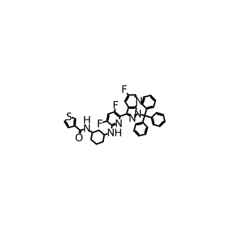 O=C(NC1CCCC(Nc2nc(-c3nn(C(c4ccccc4)(c4ccccc4)c4ccccc4)c4ncc(F)cc34)c(F)cc2F)C1)c1ccsc1